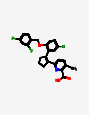 Cc1ccc(C2=C(c3cc(Cl)ccc3OCc3ccc(F)cc3F)CCC2)nc1C(=O)O